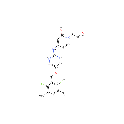 CCc1cc(OC)c(F)c(COc2cnc(Nc3ccn(CCO)c(=O)c3)nc2)c1F